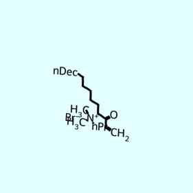 C=CC(=O)C(CCCCCCCCCCCCCCC)[N+](C)(C)CCC.[Br-]